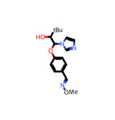 CON=Cc1ccc(OC(C(O)C(C)(C)C)n2ccnc2)cc1